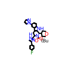 CC(C)(C)OC(=O)N1C(c2nc(-c3ccc(F)cc3)c[nH]2)Cc2c([nH]c3ccc(-n4cccn4)cc23)C1C1CCOCC1